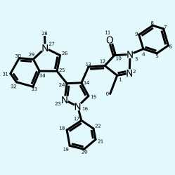 CC1=NN(c2ccccc2)C(=O)/C1=C/c1cn(-c2ccccc2)nc1-c1cn(C)c2ccccc12